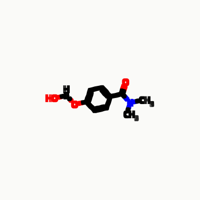 CN(C)C(=O)c1ccc(OBO)cc1